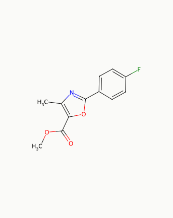 COC(=O)c1oc(-c2ccc(F)cc2)nc1C